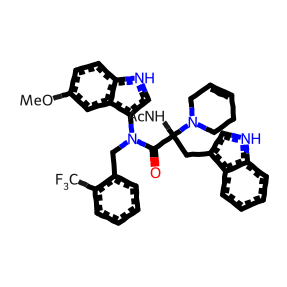 COc1ccc2[nH]cc(N(Cc3ccccc3C(F)(F)F)C(=O)C(Cc3c[nH]c4ccccc34)(NC(C)=O)N3CC=CCC3)c2c1